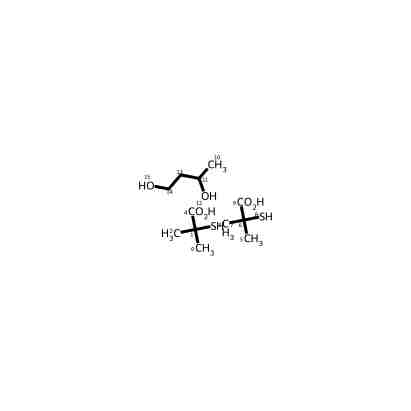 CC(C)(S)C(=O)O.CC(C)(S)C(=O)O.CC(O)CCO